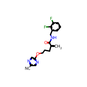 C=C(CCCOc1cnc(C#N)cn1)C(=O)NCc1cccc(F)c1F